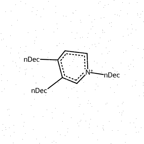 CCCCCCCCCCc1cc[n+](CCCCCCCCCC)cc1CCCCCCCCCC